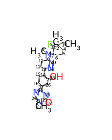 CC[C@]1(C)CCC[C@H](N(C)c2ccc(-c3ccc(-c4ncn(C)c(=O)n4)cc3O)nn2)[C@@H]1F